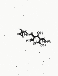 CN/C=C(\C(=N)Br)C(O)/C(C=N)=C/NCC1(C)CC1